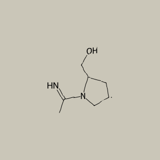 CC(=N)N1C[CH]CC1CO